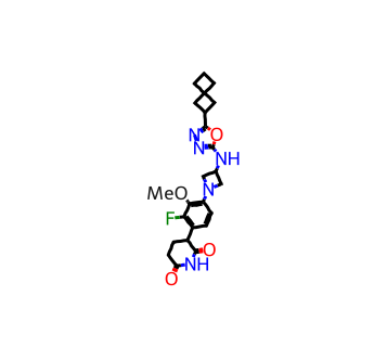 COc1c(N2CC(Nc3nnc(C4CC5(CCC5)C4)o3)C2)ccc(C2CCC(=O)NC2=O)c1F